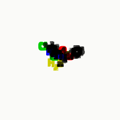 CN(NC(=O)c1ccc(Cl)nc1Cl)SOc1ccccc1.S